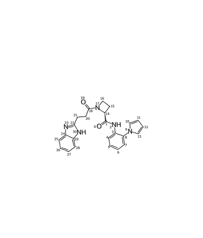 O=C(Nc1ccccc1-n1cccc1)[C@@H]1CCN1C(=O)CCc1nc2ccccc2[nH]1